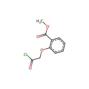 COC(=O)c1ccccc1OCC(=O)Cl